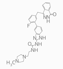 CN1CCN(CCNC(=O)Nc2nc3cc(-c4cc(Cc5n[nH]c(=O)c6ccccc56)ccc4F)ccc3[nH]2)CC1